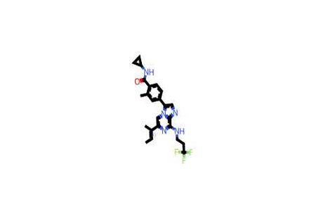 C/C=C(\C)c1cn2c(-c3ccc(C(=O)NC4CC4)c(C)c3)cnc2c(NCCC(F)(F)F)n1